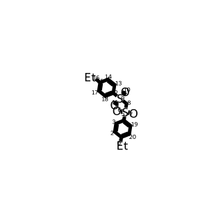 CCc1ccc(S(=O)(=O)CS(=O)(=O)c2ccc(CC)cc2)cc1